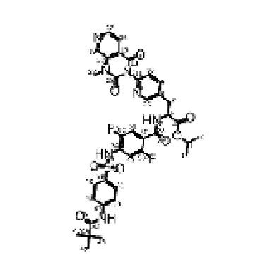 CC(C)OC(=O)[C@H](Cc1ccc(-n2c(=O)c3ccncc3n(C)c2=O)nc1)NC(=O)c1cc(F)c(NS(=O)(=O)c2ccc(NC(=O)C(C)(C)C)cc2)cc1F